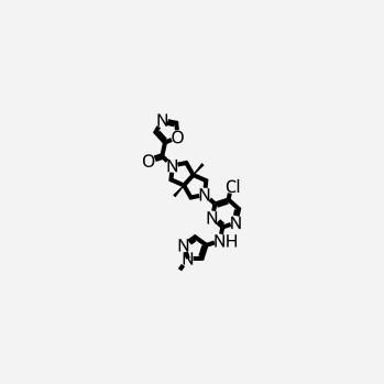 Cn1cc(Nc2ncc(Cl)c(N3C[C@]4(C)CN(C(=O)c5cnco5)C[C@]4(C)C3)n2)cn1